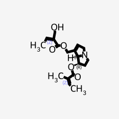 C/C=C(/C)C(=O)O[C@@H]1CCN2CC=C(COC(=O)/C(=C\C)CO)[C@H]12